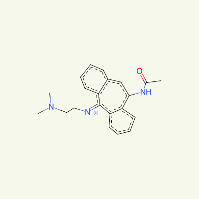 CC(=O)Nc1cc2ccccc2/c(=N\CCN(C)C)c2ccccc12